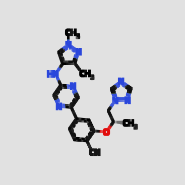 Cc1nn(C)cc1Nc1cnc(-c2ccc(C#N)c(O[C@@H](C)Cn3cncn3)c2)cn1